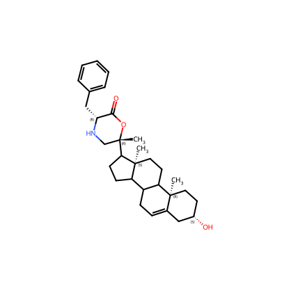 C[C@]12CCC3C(CC=C4C[C@@H](O)CC[C@@]43C)C1CCC2[C@]1(C)CN[C@H](Cc2ccccc2)C(=O)O1